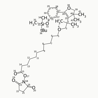 CC(C)(COCCCCCCCCCCC(=O)ON1C(=O)CCC1=O)C1=C(c2cccc(O[Si](C)(C)C(C)(C)C)c2)OCC1(C)C